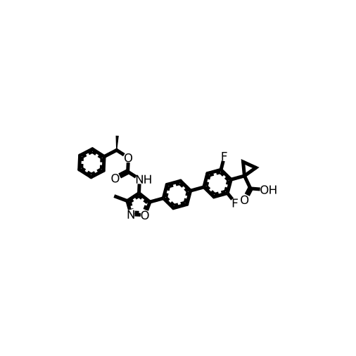 Cc1noc(-c2ccc(-c3cc(F)c(C4(C(=O)O)CC4)c(F)c3)cc2)c1NC(=O)O[C@H](C)c1ccccc1